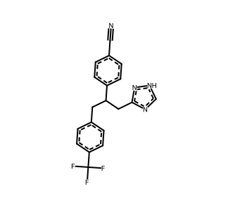 N#Cc1ccc(C(Cc2ccc(C(F)(F)F)cc2)Cc2nc[nH]n2)cc1